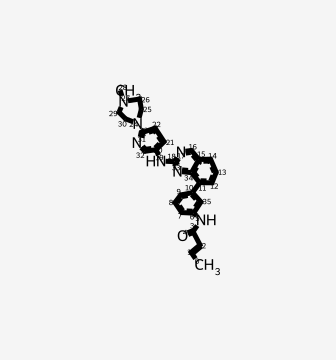 CC=CC(=O)Nc1cccc(-c2cccc3cnc(Nc4ccc(N5CCN(C)CC5)nc4)nc23)c1